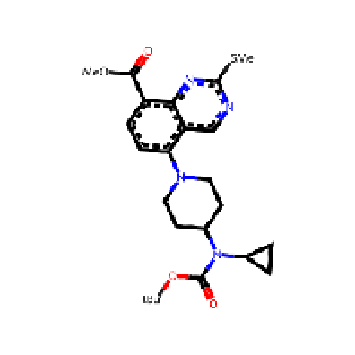 COC(=O)c1ccc(N2CCC(N(C(=O)OC(C)(C)C)C3CC3)CC2)c2cnc(SC)nc12